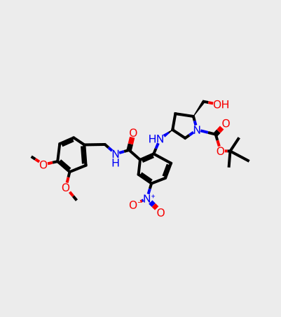 COc1ccc(CNC(=O)c2cc([N+](=O)[O-])ccc2N[C@H]2C[C@@H](CO)N(C(=O)OC(C)(C)C)C2)cc1OC